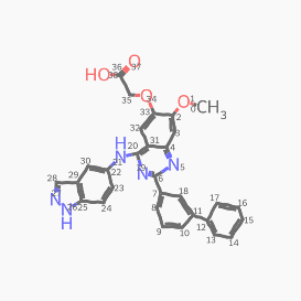 COc1cc2nc(-c3cccc(-c4ccccc4)c3)nc(Nc3ccc4[nH]ncc4c3)c2cc1OCC(=O)O